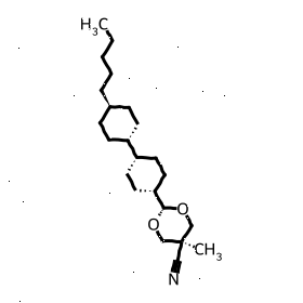 CCCCC[C@H]1CC[C@H]([C@H]2CC[C@@H]([C@H]3OC[C@](C)(C#N)CO3)CC2)CC1